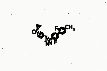 Cc1ccc(-c2ccc(-c3nncn3C[C@@H]3CCN(C(=O)C4CC4)C3)c(F)c2)c(F)c1